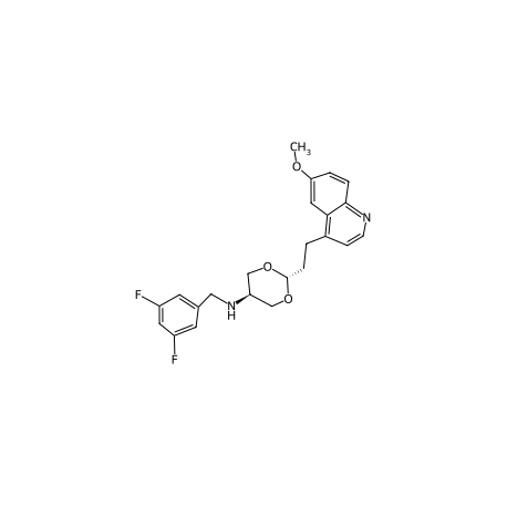 COc1ccc2nccc(CC[C@H]3OC[C@H](NCc4cc(F)cc(F)c4)CO3)c2c1